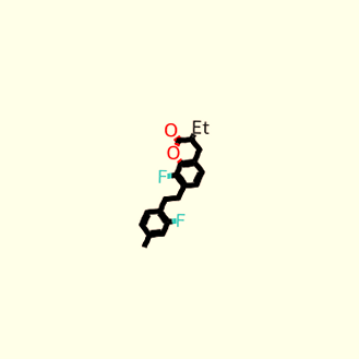 CCC1Cc2ccc(CCc3ccc(C)cc3F)c(F)c2OC1=O